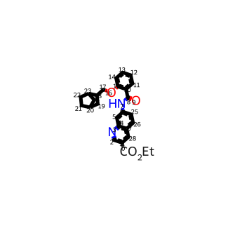 CCOC(=O)c1cnc2cc(NC(=O)c3ccccc3OCC3CC4CCC3C4)ccc2c1